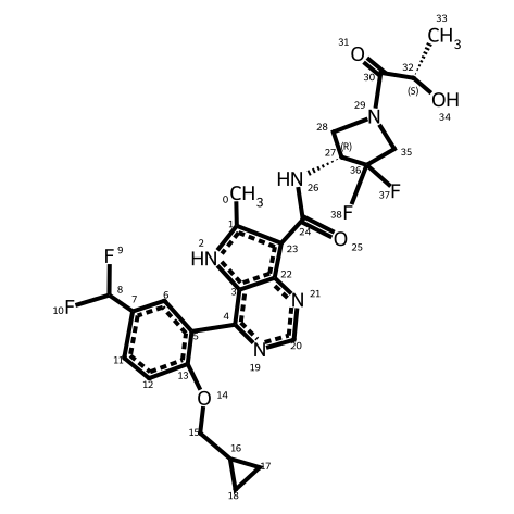 Cc1[nH]c2c(-c3cc(C(F)F)ccc3OCC3CC3)ncnc2c1C(=O)N[C@@H]1CN(C(=O)[C@H](C)O)CC1(F)F